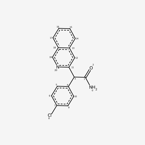 NC(=O)C(c1ccc(Cl)cc1)c1cc2ccccc2cn1